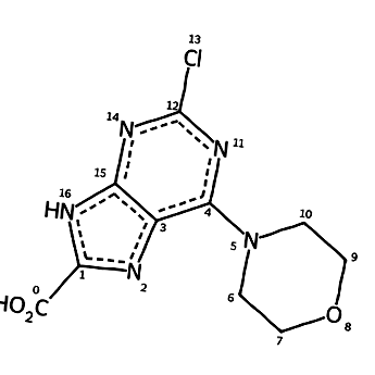 O=C(O)c1nc2c(N3CCOCC3)nc(Cl)nc2[nH]1